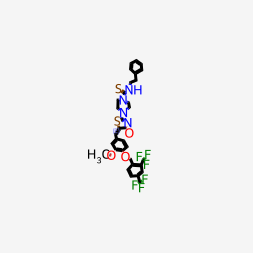 COc1cc(/C=C2/SC(N3CCN(C(=S)NCCc4ccccc4)CC3)=NC2=O)ccc1OCc1ccc(C(F)(F)F)cc1C(F)(F)F